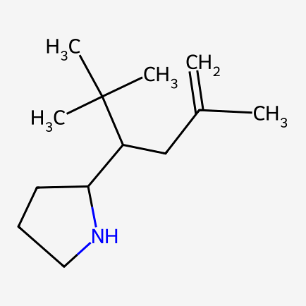 C=C(C)CC(C1CCCN1)C(C)(C)C